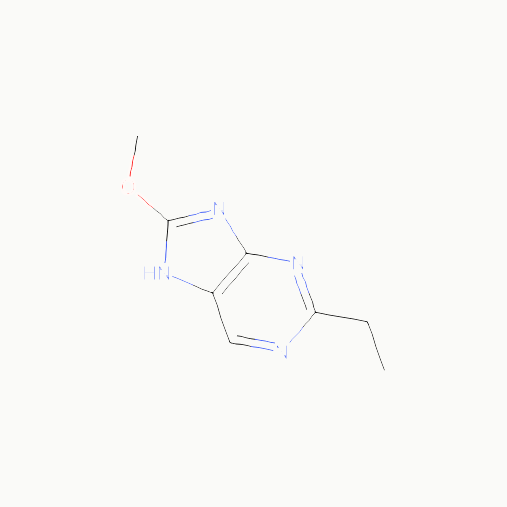 CCc1ncc2[nH]c(OC)nc2n1